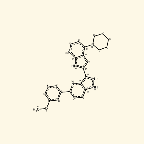 COc1cncc(-c2ccc3[nH]nc(-c4cc5c(N6CCCCC6)ccnc5[nH]4)c3n2)c1